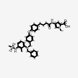 Cc1c(NS(C)(=O)=O)cccc1N(Cc1ccccc1)Cc1ccc(Oc2ccc(CCCC(=O)Nc3cc(C(=O)O)n(C)c3)cc2)cc1